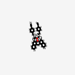 C#Cc1ccc(COC(=O)COc2ccc3ccccc3c2Cc2c(OCC(=O)OCc3ccc(C#C)cc3)ccc3ccccc23)cc1